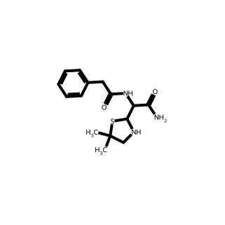 CC1(C)CNC(C(NC(=O)Cc2ccccc2)C(N)=O)S1